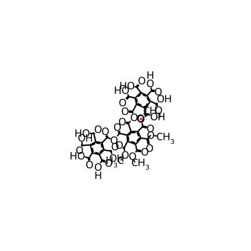 CCOC(=O)c1c(C(=O)OC)c(C(=O)OC)c(C(=O)OC)c(C(=O)OC(=O)c2c(C(=O)O)c(C(=O)O)c(C(=O)O)c(C(=O)O)c2C(=O)O)c1C(=O)OC(=O)c1c(C(=O)O)c(C(=O)O)c(C(=O)O)c(C(=O)O)c1C(=O)O